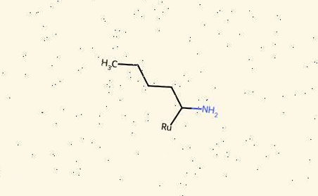 CCCC[CH](N)[Ru]